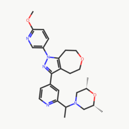 COc1ccc(-n2nc(-c3ccnc(C(C)N4C[C@@H](C)O[C@@H](C)C4)c3)c3c2CCOCC3)cn1